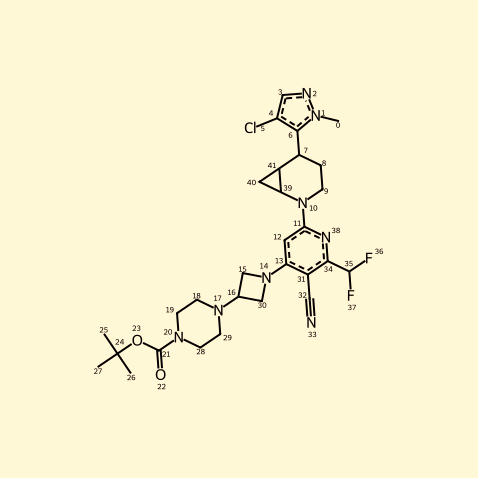 Cn1ncc(Cl)c1C1CCN(c2cc(N3CC(N4CCN(C(=O)OC(C)(C)C)CC4)C3)c(C#N)c(C(F)F)n2)C2CC12